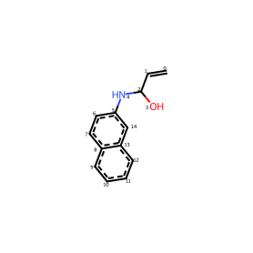 C=CC(O)Nc1ccc2ccccc2c1